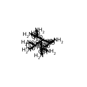 NCCNC(=O)CCN(CCNC(=O)CCCN(CCC(=O)NCCN(CCC(=O)NCCN)CCC(=O)NCCN)CCN(CCC(=O)NCCN(CCC(=O)NCCN)CCC(=O)NCCN)CCC(=O)NCCN(CCC(=O)NCCN)CCC(=O)NCCN)CCC(=O)NCCN